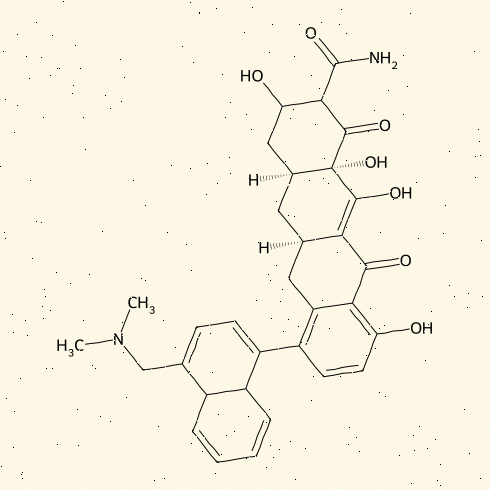 CN(C)CC1=CC=C(c2ccc(O)c3c2C[C@H]2C[C@H]4CC(O)C(C(N)=O)C(=O)[C@@]4(O)C(O)=C2C3=O)C2C=CC=CC12